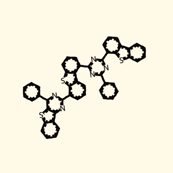 c1ccc(-c2nc(-c3cccc4c3sc3ccccc34)nc(-c3cccc4sc5c(-c6nc(-c7ccccc7)c7sc8ccccc8c7n6)cccc5c34)n2)cc1